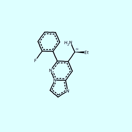 CC[C@H](N)c1cc2nccn2nc1-c1ccccc1F